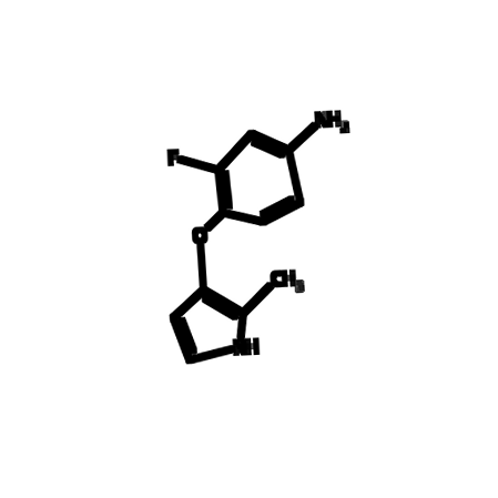 Cc1[nH]ccc1Oc1ccc(N)cc1F